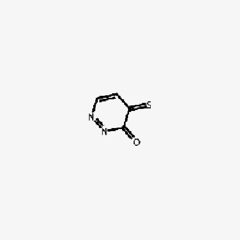 O=C1N=NC=CC1=S